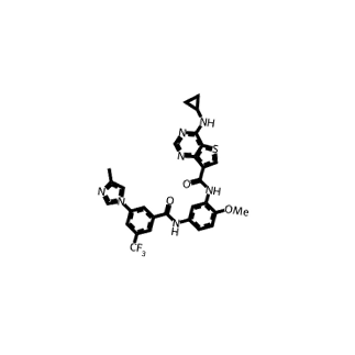 COc1ccc(NC(=O)c2cc(-n3cnc(C)c3)cc(C(F)(F)F)c2)cc1NC(=O)c1csc2c(NC3CC3)ncnc12